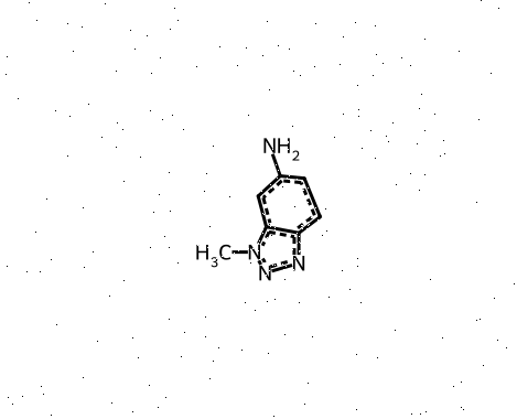 Cn1nnc2ccc(N)cc21